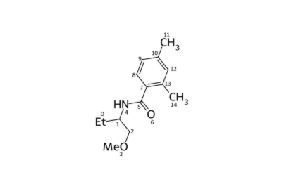 CCC(COC)NC(=O)c1ccc(C)cc1C